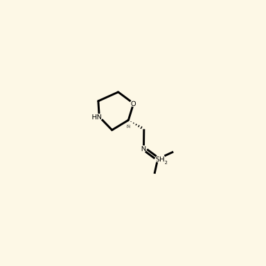 C[SH2](C)=NC[C@@H]1CNCCO1